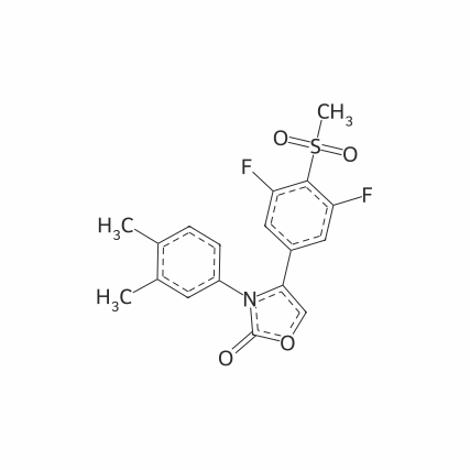 Cc1ccc(-n2c(-c3cc(F)c(S(C)(=O)=O)c(F)c3)coc2=O)cc1C